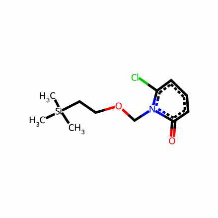 C[Si](C)(C)CCOCn1c(Cl)cccc1=O